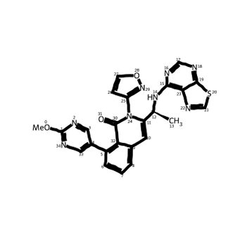 COc1ncc(-c2cccc3cc([C@H](C)Nc4ncnc5scnc45)n(-c4ccon4)c(=O)c23)cn1